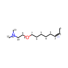 C/C=C\CCCCCOCCN(C)C